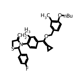 C=C1CSC(c2ccc(F)cc2)N1c1ccc(C(OCc2ccc(OCCCC)c(C)c2)=C2CC2)cc1C